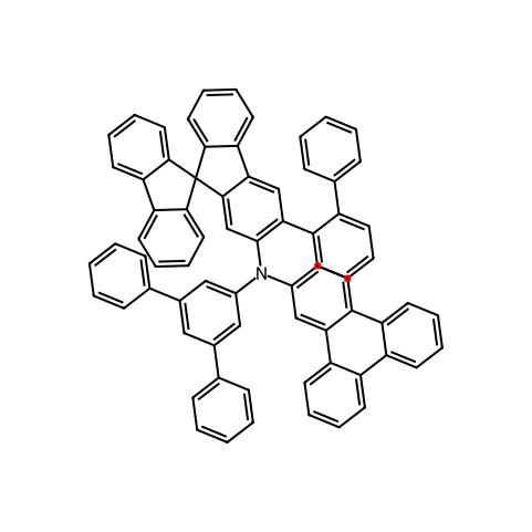 c1ccc(-c2cc(-c3ccccc3)cc(N(c3ccc4c5ccccc5c5ccccc5c4c3)c3cc4c(cc3-c3ccccc3-c3ccccc3)-c3ccccc3C43c4ccccc4-c4ccccc43)c2)cc1